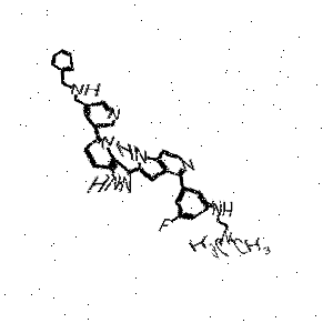 CN(C)CCNc1cc(F)cc(-c2nccc3[nH]c(-c4n[nH]c5ccc(-c6cncc(CNCc7ccccc7)c6)nc45)cc23)c1